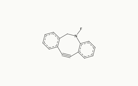 FN1Cc2ccccc2C#Cc2ccccc21